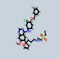 CCS(=O)(=O)CCNCCCC1(c2cc3c(Nc4ccc(OCc5cccc(F)c5)c(Cl)c4)ncnc3cc2OC)CC=CO1